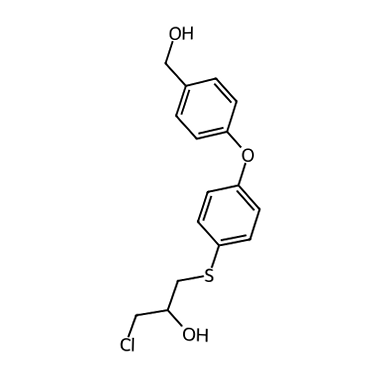 OCc1ccc(Oc2ccc(SCC(O)CCl)cc2)cc1